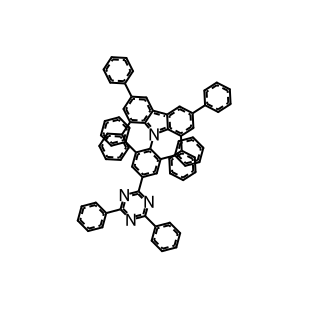 c1ccc(-c2cc(-c3ccccc3)c3c(c2)c2cc(-c4ccccc4)cc(-c4ccccc4)c2n3-c2c(-c3ccccc3)cc(-c3nc(-c4ccccc4)nc(-c4ccccc4)n3)cc2-c2ccccc2)cc1